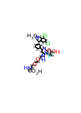 CN1Cc2c(Cl)cc(Cl)cc2[C@H](c2cccc(-c3cc(NCCOCCOCCNC(=O)O)ncn3)c2)C1.O=C(O)C(F)(F)F